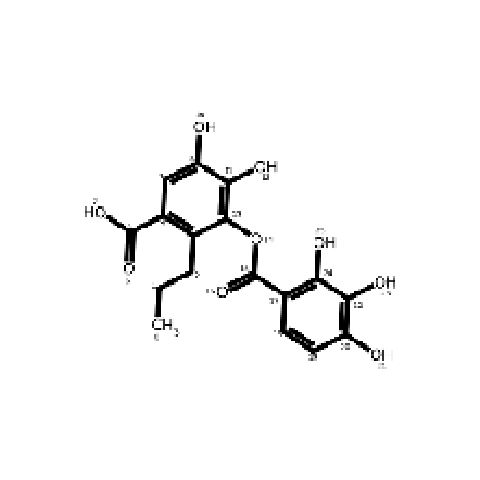 CCCc1c(C(=O)O)cc(O)c(O)c1OC(=O)c1ccc(O)c(O)c1O